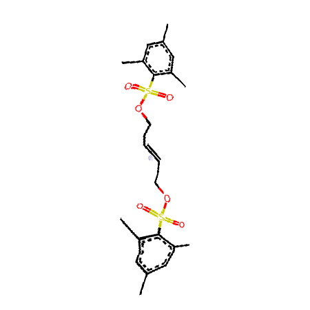 Cc1cc(C)c(S(=O)(=O)OC/C=C/COS(=O)(=O)c2c(C)cc(C)cc2C)c(C)c1